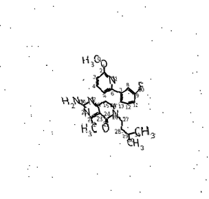 COc1cccc(-c2cc(F)ccc2[C@H]2Cc3nc(N)nc(C)c3C(=O)N2CCC(C)C)n1